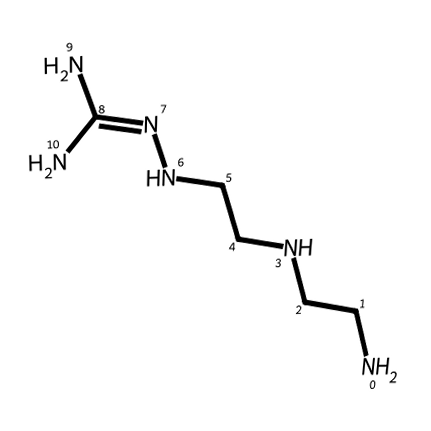 NCCNCCNN=C(N)N